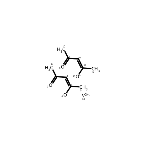 CC(=O)/C=C(/C)[O-].CC(=O)/C=C(/C)[O-].[V+2]